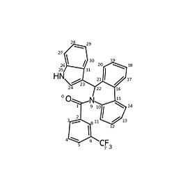 O=C(c1cccc(C(F)(F)F)c1)N1c2ccccc2-c2ccccc2C1c1c[nH]c2ccccc12